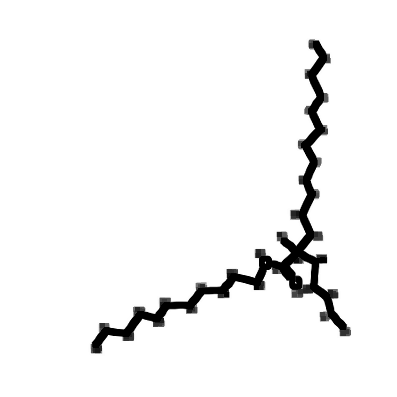 CCCCCCCCCCCCC(C)(CCCCC)C(=O)OCCCCCCCCCCC